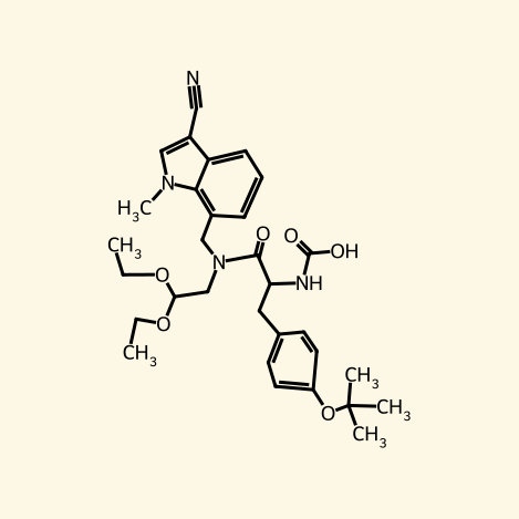 CCOC(CN(Cc1cccc2c(C#N)cn(C)c12)C(=O)C(Cc1ccc(OC(C)(C)C)cc1)NC(=O)O)OCC